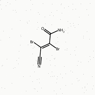 N#CC(Br)=C(Br)C(N)=O